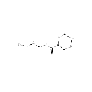 CCCCCC(=O)C1CC[N]CC1